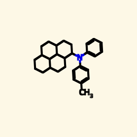 Cc1ccc(N(c2ccccc2)C2CCC3CCC4CCCC5CCC2C3C45)cc1